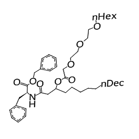 CCCCCCCCCCCCCCCC(CC(=O)N[C@@H](Cc1ccccc1)C(=O)OCc1ccccc1)OC(=O)COCCOCCOCCCCCC